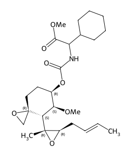 CC=CC[C@H]1O[C@]1(C)[C@H]1[C@H](OC)[C@H](OC(=O)NC(C(=O)OC)C2CCCCC2)CC[C@]12CO2